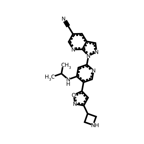 CC(C)Nc1cc(-n2ncc3cc(C#N)cnc32)ncc1-c1cc(C2CNC2)no1